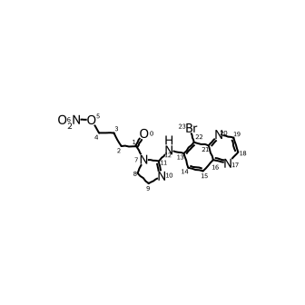 O=C(CCCO[N+](=O)[O-])N1CCN=C1Nc1ccc2nccnc2c1Br